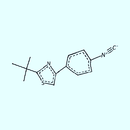 [C-]#[N+]c1ccc(-c2csc(C(C)(C)C)n2)cc1